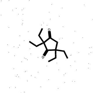 CCC1(CC)CC(=O)C(CC)(CC)C1=O